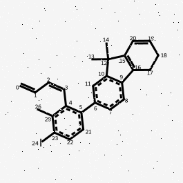 C=C/C=C\c1c(-c2ccc3c(c2)C(C)(C)C2=C3CCC=C2)ccc(I)c1C